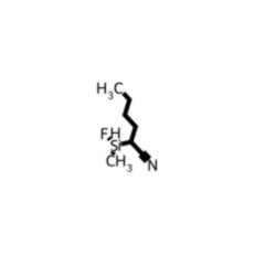 CCCCC(C#N)[SiH](C)F